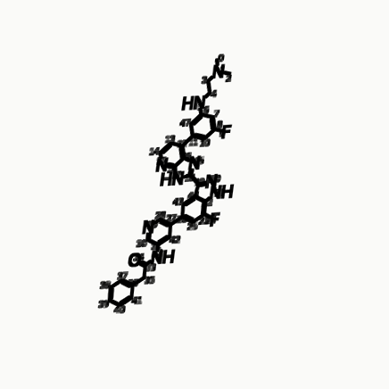 CN(C)CCNc1cc(F)cc(-c2ccnc3[nH]c(-c4n[nH]c5c(F)cc(-c6cncc(NC(=O)Cc7ccccc7)c6)cc45)nc23)c1